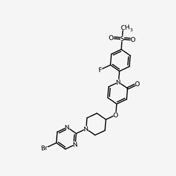 CS(=O)(=O)c1ccc(-n2ccc(OC3CCN(c4ncc(Br)cn4)CC3)cc2=O)c(F)c1